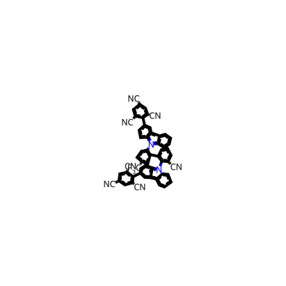 N#Cc1cc(C#N)c(-c2ccc3c(c2)c2ccccc2n3-c2ccc(C(F)(F)F)cc2-c2cccc(C#N)c2-n2c3ccccc3c3cc(-c4c(C#N)cc(C#N)cc4C#N)ccc32)c(C#N)c1